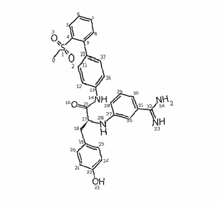 CS(=O)(=O)c1ccccc1-c1ccc(NC(=O)[C@H](Cc2ccc(O)cc2)Nc2cccc(C(=N)N)c2)cc1